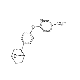 CCOC(=O)c1ccc(Oc2ccc(C3CC4CCC3CC4)cc2)nc1